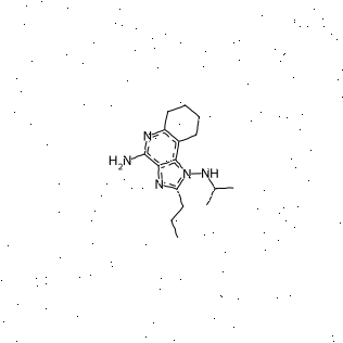 CCCc1nc2c(N)nc3c(c2n1NC(C)C)CCCC3